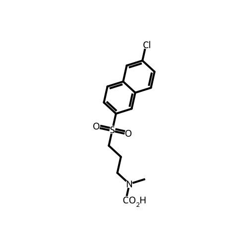 CN(CCCS(=O)(=O)c1ccc2cc(Cl)ccc2c1)C(=O)O